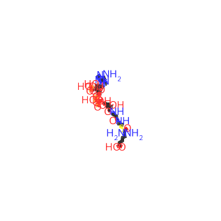 CC(C)(COP(=O)(O)OP(=O)(O)OC[C@H]1O[C@@H](n2cnc3c(N)ncnc32)[C@H](O)[C@@H]1OP(=O)(O)O)[C@@H](O)C(=O)NCCC(=O)NCCSC(=O)C(N)(N)CCCCC(=O)O